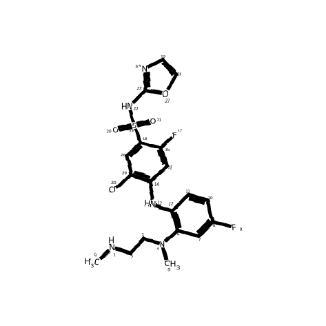 CNCCN(C)c1cc(F)ccc1Nc1cc(F)c(S(=O)(=O)Nc2ncco2)cc1Cl